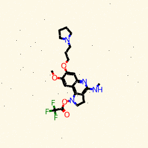 CNc1nc2cc(OCCCN3CCCC3)c(OC)cc2c2c1CCN2OC(=O)C(F)(F)F